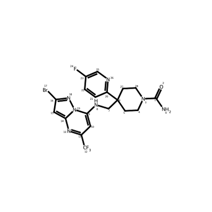 NC(=O)N1CCC(CNc2cc(C(F)(F)F)nc3cc(Br)nn23)(c2ccc(F)cn2)CC1